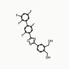 Cc1cc(-c2nc(-c3ccc(CO)c(CO)c3)no2)c(F)cc1-c1cc(F)cc(F)c1F